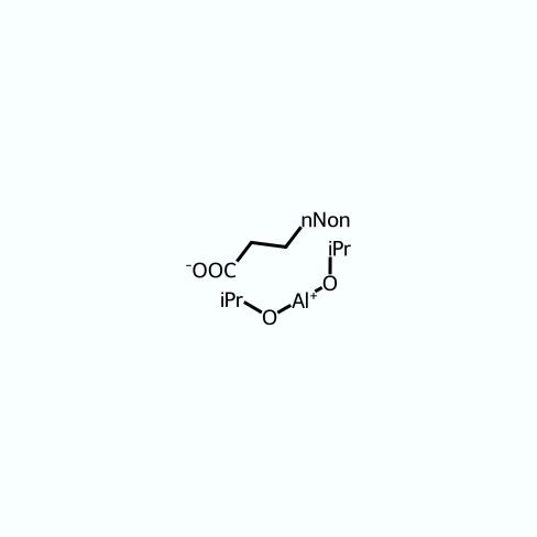 CC(C)[O][Al+][O]C(C)C.CCCCCCCCCCCC(=O)[O-]